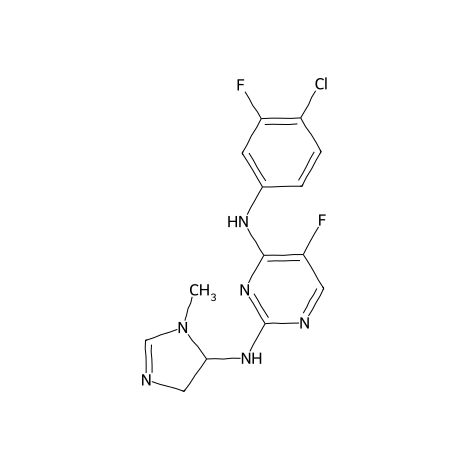 CN1C=NCC1Nc1ncc(F)c(Nc2ccc(Cl)c(F)c2)n1